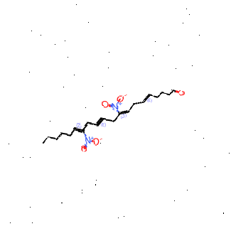 CCCCC/C=C(/C/C=C/C/C(=C/C/C=C/CCC[C]=O)[N+](=O)[O-])[N+](=O)[O-]